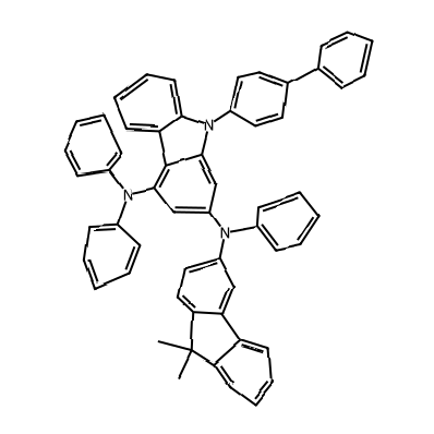 CC1(C)c2ccccc2-c2cc(N(c3ccccc3)c3cc(N(c4ccccc4)c4ccccc4)c4c5ccccc5n(-c5ccc(-c6ccccc6)cc5)c4c3)ccc21